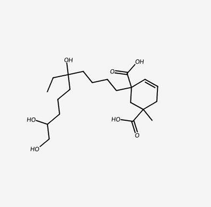 CCC(O)(CCCCC1(C(=O)O)C=CCC(C)(C(=O)O)C1)CCCC(O)CO